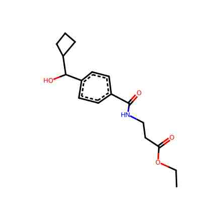 CCOC(=O)CCNC(=O)c1ccc(C(O)C2CCC2)cc1